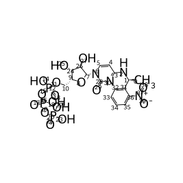 C[C@H](Nc1ccn([C@@H]2O[C@H](COP(=O)(O)OP(=O)(O)OP(=O)(O)O)[C@H](O)C2O)c(=O)n1)c1ccccc1[N+](=O)[O-]